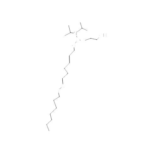 CCCCCCCSSCCCCCCOP(OCCO)N(C(C)C)C(C)C